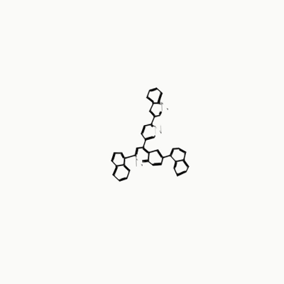 c1ccc2ncc(-c3ccc(-c4cc(-c5cccc6ccccc56)nc5ccc(-c6cccc7ccccc67)cc45)cn3)cc2c1